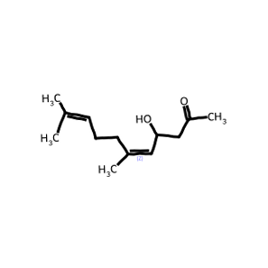 CC(=O)CC(O)/C=C(/C)CCC=C(C)C